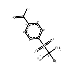 BC(B)(Br)S(=O)(=O)c1ccc(C(C)=O)cc1